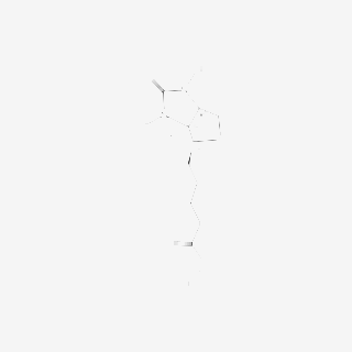 BN1C(=O)N(B)[C@H]2CS[C@@H](CCCCC(=O)BC)[C@H]21